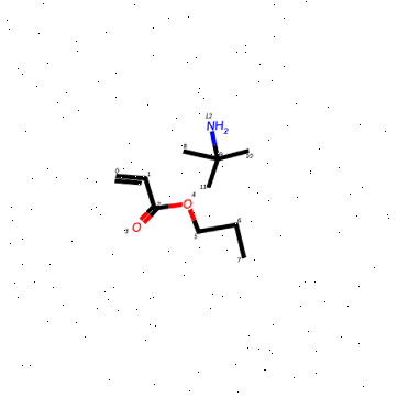 C=CC(=O)OCCC.CC(C)(C)N